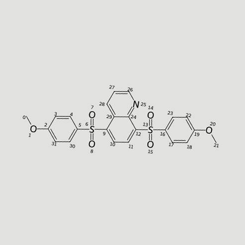 COc1ccc(S(=O)(=O)c2ccc(S(=O)(=O)c3ccc(OC)cc3)c3ncccc23)cc1